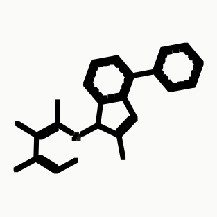 CC=C(C)C(C)=[C](C)[Zr][CH]1C(C)=Cc2c(-c3ccccc3)cccc21